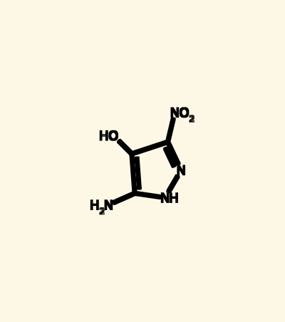 Nc1[nH]nc([N+](=O)[O-])c1O